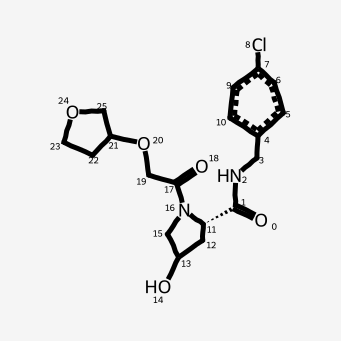 O=C(NCc1ccc(Cl)cc1)[C@@H]1CC(O)CN1C(=O)COC1CCOC1